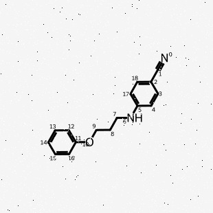 N#Cc1ccc(NCCCOc2ccccc2)cc1